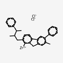 Cc1cc2c(cc1-c1ccccc1)-c1ccc(CC(C)C(C)c3ccccc3)[c]([Zr+2])c1C2.[Cl-].[Cl-]